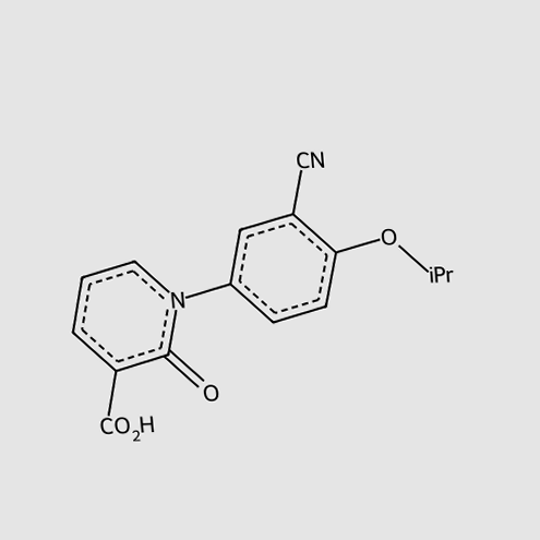 CC(C)Oc1ccc(-n2cccc(C(=O)O)c2=O)cc1C#N